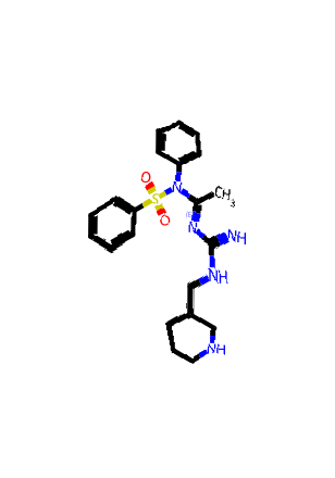 C/C(=N\C(=N)NCC1CCCNC1)N(c1ccccc1)S(=O)(=O)c1ccccc1